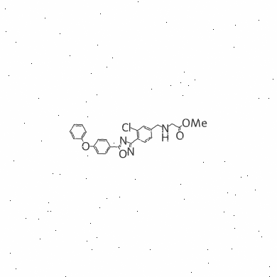 COC(=O)CNCc1ccc(-c2noc(-c3ccc(Oc4ccccc4)cc3)n2)c(Cl)c1